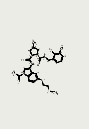 COCCOc1ccc2c(c1)c(NC(=O)N1C[C@@H](C)C[C@H]1C(=O)NCc1cccc(Cl)c1F)cn2C(N)=O